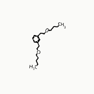 CCCCCOCCc1cccc(CCOCCCC)c1